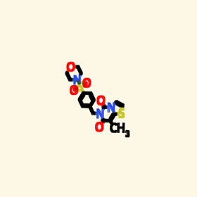 Cc1c(=O)n(Cc2ccc(S(=O)(=O)N3CCOCC3)cc2)c(=O)n2ccsc12